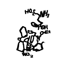 CCOCN(C(=O)CCl)c1c(C)cccc1CC.CP(=O)(O)CCC(N)C(=O)O.Nc1c([N+](=O)[O-])ccc(Oc2ccccc2)c1Cl